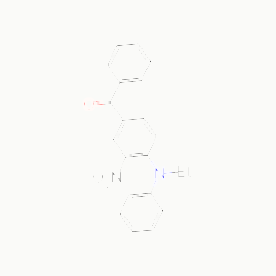 CCN(c1ccccc1)c1ccc(C(=O)c2ccccc2)cc1[N+](=O)[O-]